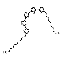 CCCCCCCCCCc1ccc(-c2ccc(-c3ccc(-c4ccc(-c5ccc(CCCCCCCCC)s5)s4)s3)s2)s1